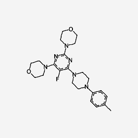 Cc1ccc(N2CCN(c3nc(N4CCOCC4)nc(N4CCOCC4)c3F)CC2)cc1